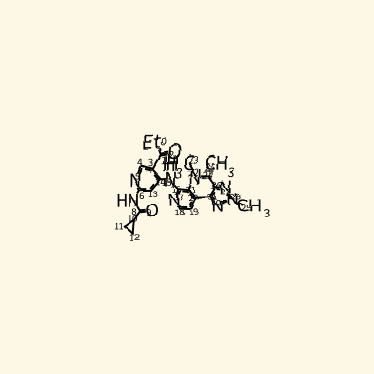 CCC(=O)c1cnc(NC(=O)C2CC2)cc1Nc1nccc2c1N(C)[C@H](C)c1nn(C)nc1-2